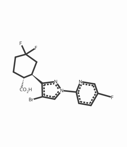 O=C(O)[C@@H]1CCC(F)(F)C[C@H]1c1nn(-c2ccc(F)cn2)cc1Br